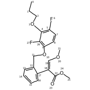 CCCOc1c(F)ccc(OCc2ccccc2C(=COC)C(=O)OC)c1F